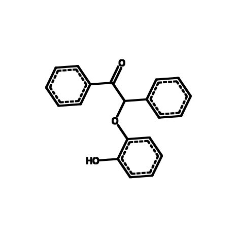 O=C(c1ccccc1)C(Oc1ccccc1O)c1ccccc1